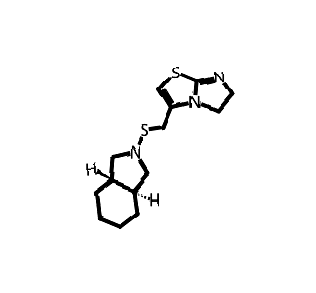 C1=C(CSN2C[C@H]3CCCC[C@@H]3C2)N2CCN=C2S1